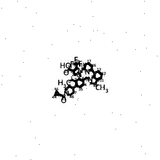 CCc1cc(CN2CC(C)c3cccc(-c4cccc(-n5ncc(C(=O)O)c5C(F)(F)F)n4)c32)ccc1C1CCN(C(=O)C2CC2)CC1